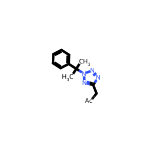 CC(=O)Cc1nnn(C(C)(C)c2ccccc2)n1